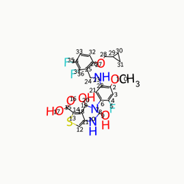 COc1cc(F)c(N2C(O)Nc3csc(C(=O)O)c3C2O)cc1NCc1c(OCC2CC2)ccc(F)c1F